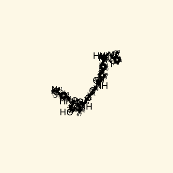 COc1cccc(F)c1-c1ncc2[nH]nc(-c3ccc(N4CCN(CC(=O)NCCOCCOCCC(=O)N[C@H](C(=O)N5C[C@H](O)C[C@H]5C(=O)NCc5ccc(-c6scnc6C)cc5)C(C)(C)C)CC4)cc3)c2n1